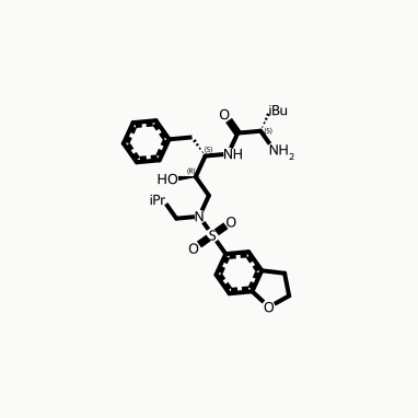 CCC(C)[C@H](N)C(=O)N[C@@H](Cc1ccccc1)[C@H](O)CN(CC(C)C)S(=O)(=O)c1ccc2c(c1)CCO2